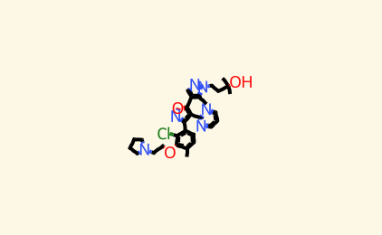 Cc1ccc(-c2noc(-c3cnn(CCC(C)(C)O)c3C)c2-c2ncccn2)c(Cl)c1OCCN1CCCC1